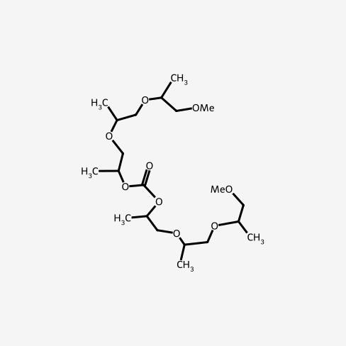 COCC(C)OCC(C)OCC(C)OC(=O)OC(C)COC(C)COC(C)COC